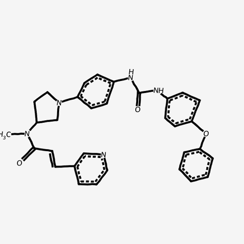 CN(C(=O)C=Cc1cccnc1)C1CCN(c2ccc(NC(=O)Nc3ccc(Oc4ccccc4)cc3)cc2)C1